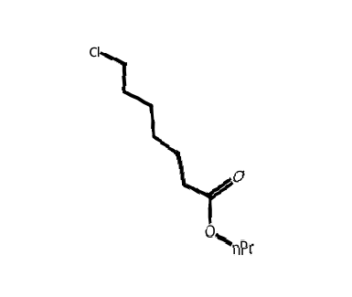 CCCOC(=O)CCCCCCCl